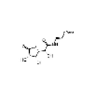 CCCCC/C=C/NC(=O)[C@H](O)[C@H]1OC(=O)[C@@H](O)[C@H]1O